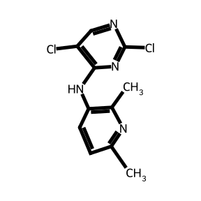 Cc1ccc(Nc2nc(Cl)ncc2Cl)c(C)n1